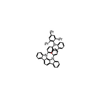 CC(C)c1cc(C(C)C)c(B2c3ccccc3Sc3cc(-n4c5ccccc5c5ccc6c7ccccc7n(-c7ccccc7)c6c54)ccc32)c(C(C)C)c1